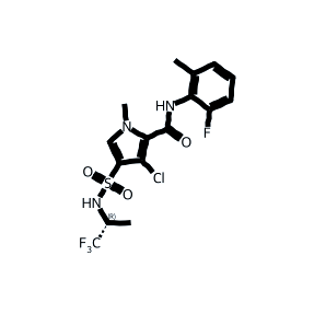 Cc1cccc(F)c1NC(=O)c1c(Cl)c(S(=O)(=O)N[C@H](C)C(F)(F)F)cn1C